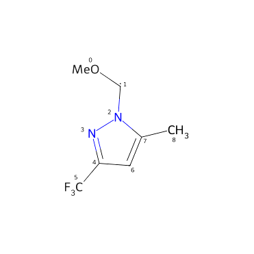 CO[CH]n1nc(C(F)(F)F)cc1C